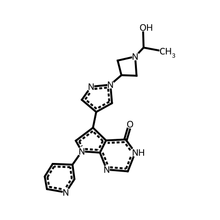 CC(O)N1CC(n2cc(-c3cn(-c4cccnc4)c4nc[nH]c(=O)c34)cn2)C1